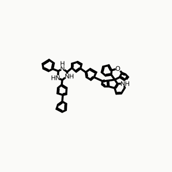 C1=CC2=C(NC1)C1(c3ccccc3Oc3ccccc31)c1cc(-c3ccc(-c4cccc(C5NC(c6ccccc6)NC(c6ccc(-c7ccccc7)cc6)N5)c4)cc3)ccc12